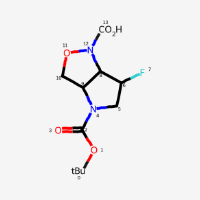 CC(C)(C)OC(=O)N1CC(F)C2C1CON2C(=O)O